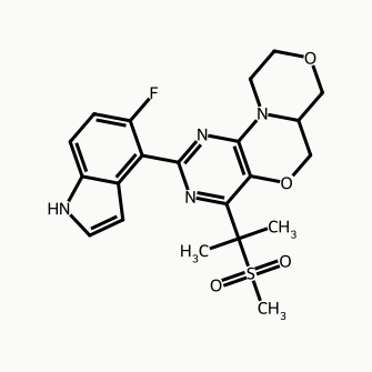 CC(C)(c1nc(-c2c(F)ccc3[nH]ccc23)nc2c1OCC1COCCN21)S(C)(=O)=O